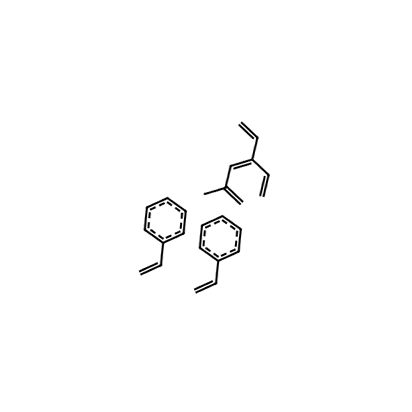 C=CC(C=C)=CC(=C)C.C=Cc1ccccc1.C=Cc1ccccc1